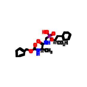 C[C@@H](NC(=O)OCc1ccccc1)C(=O)NCP(=O)(O)O[C@H](Cc1ccccc1)C(=O)O